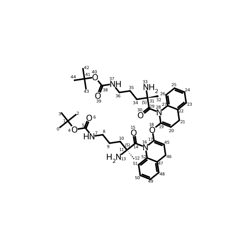 CC(C)(C)OC(=O)NCCC[C@](C)(N)C(=O)N1C(OC2=CCc3ccccc3N2C(=O)[C@@](C)(N)CCCNC(=O)OC(C)(C)C)=CCc2ccccc21